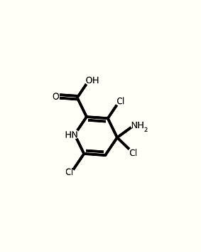 NC1(Cl)C=C(Cl)NC(C(=O)O)=C1Cl